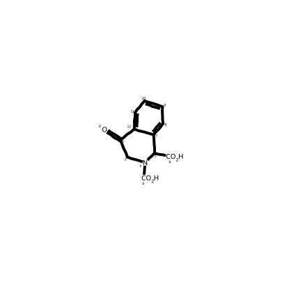 O=C1CN(C(=O)O)C(C(=O)O)c2ccccc21